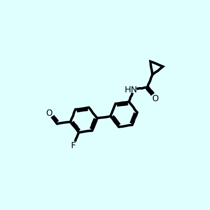 O=Cc1ccc(-c2cccc(NC(=O)C3CC3)c2)cc1F